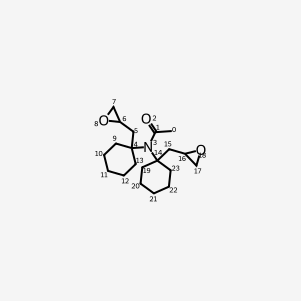 CC(=O)N(C1(CC2CO2)CCCCC1)C1(CC2CO2)CCCCC1